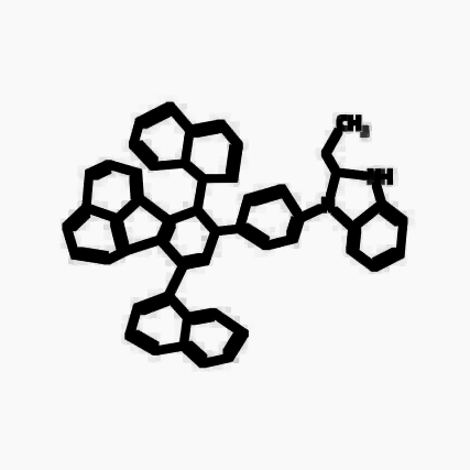 CCC1Nc2ccccc2N1c1ccc(C2C=C(c3cccc4ccccc34)C3=C(c4cccc5cccc3c45)C2C2C=CC=C3C=CC=CC32)cc1